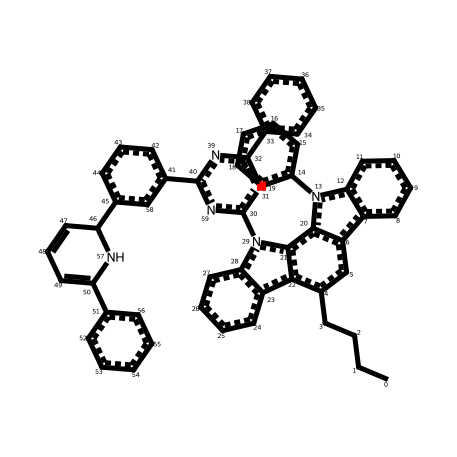 CCCCc1cc2c3ccccc3n(-c3ccccc3)c2c2c1c1ccccc1n2-c1nc(-c2ccccc2)nc(-c2cccc(C3C=CC=C(c4ccccc4)N3)c2)n1